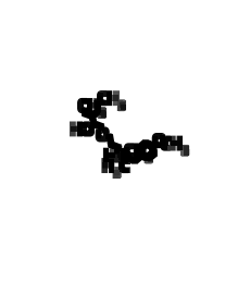 CCCC(CC)C(O)COCCCNC(C)(C)Cc1ccc(OC)cc1